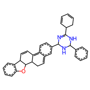 C1=CCC(C2=NC(c3ccc4c(c3)=CCC3C=4C=CC4c5ccccc5OC34)NC(c3ccccc3)N2)C=C1